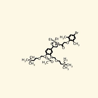 CC[Si](CC)(CC)OC(CNC(=O)COc1c(C)cc(Br)cc1C)c1ccc(OCOCC[Si](C)(C)C)c(N(COCC[Si](C)(C)C)S(C)(=O)=O)c1